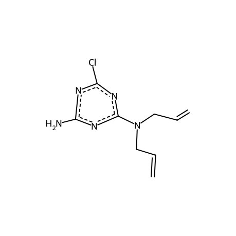 C=CCN(CC=C)c1nc(N)nc(Cl)n1